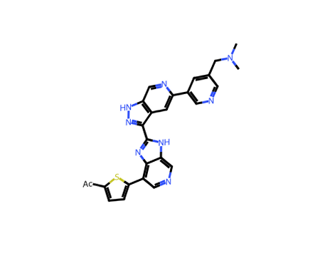 CC(=O)c1ccc(-c2cncc3[nH]c(-c4n[nH]c5cnc(-c6cncc(CN(C)C)c6)cc45)nc23)s1